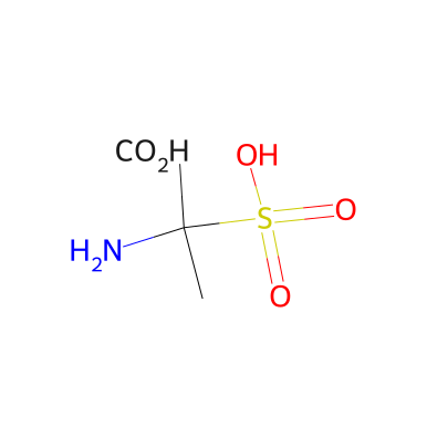 CC(N)(C(=O)O)S(=O)(=O)O